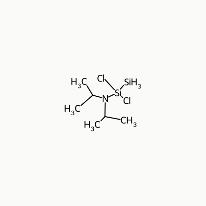 CC(C)N(C(C)C)[Si]([SiH3])(Cl)Cl